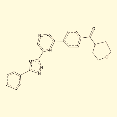 O=C(c1ccc(-c2cncc(-c3nnc(-c4ccccc4)o3)n2)cc1)N1CCOCC1